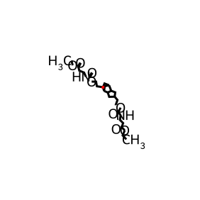 CCOC(=O)CCNC(=O)OCCC1CC2C3CC(CCOC(=O)NCCC(=O)OCC)C(C3)C2C1